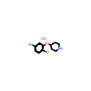 Cl.Clc1ccc(Br)cc1OC1CCNCC1